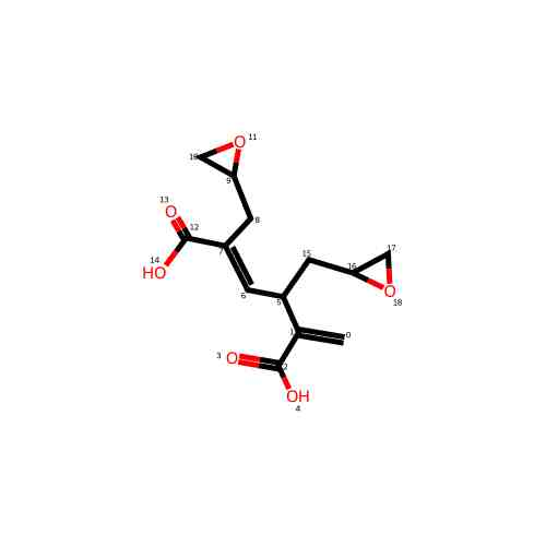 C=C(C(=O)O)C(C=C(CC1CO1)C(=O)O)CC1CO1